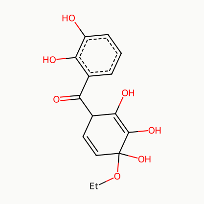 CCOC1(O)C=CC(C(=O)c2cccc(O)c2O)C(O)=C1O